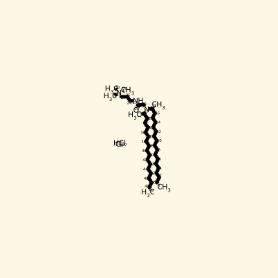 CCCCCCCCCCCCCCCCCC(C)N(CC(=O)NCCC[N+](C)(C)C)C(C)CCCCCCCCCCCCCCCCC.Cl.[Cl-]